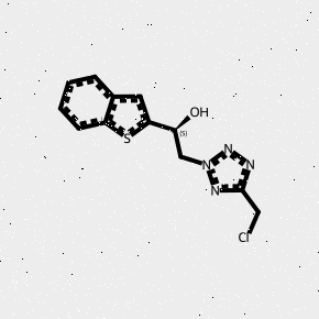 O[C@@H](Cn1nnc(CCl)n1)c1cc2ccccc2s1